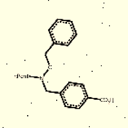 CCCCCN(Cc1ccc(C(=O)O)cc1)OCc1ccccc1